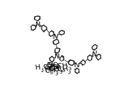 C[Si](C)(C)O[Si](C)(O[Si](C)(C)C)c1cccc(N(c2ccc(-c3ccc(N(c4ccccc4)c4ccc(-c5ccc(N(c6ccccc6)c6ccccc6)cc5)cc4)cc3)cc2)c2ccc(-c3ccc(N(c4ccccc4)c4ccc(-c5ccc(N(c6ccccc6)c6ccccc6)cc5)cc4)cc3)cc2)c1